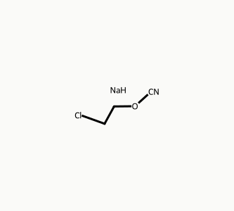 N#COCCCl.[NaH]